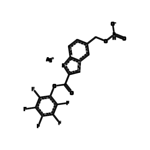 O=C(Oc1c(F)c(F)c(F)c(F)c1F)c1cc2cc(CO[PH](=O)[O-])ccc2s1.[Ag+]